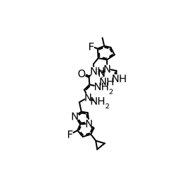 Cc1ccc(N(C=N)N=N)c(CNC(=O)/C(N)=C/N(N)Cc2cn3cc(C4CC4)cc(F)c3n2)c1F